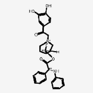 O=C(C[N+]12CCC(CC1)[C@@H](OC(=O)[C@H](Nc1ccccc1)c1ccccc1)C2)c1ccc(O)c(O)c1